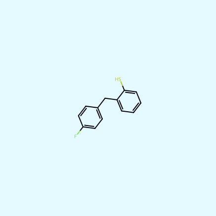 Fc1ccc(Cc2ccccc2S)cc1